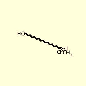 C[Si](Cl)(Cl)CCCCCCCCCCCCCCCCCO